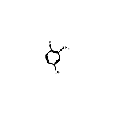 Bc1cc(O)ccc1F